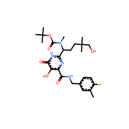 Cc1cc(CNC(=O)c2nc(C(CCC(C)(C)CO)N(C)C(=O)OC(C)(C)C)[nH]c(=O)c2O)ccc1F